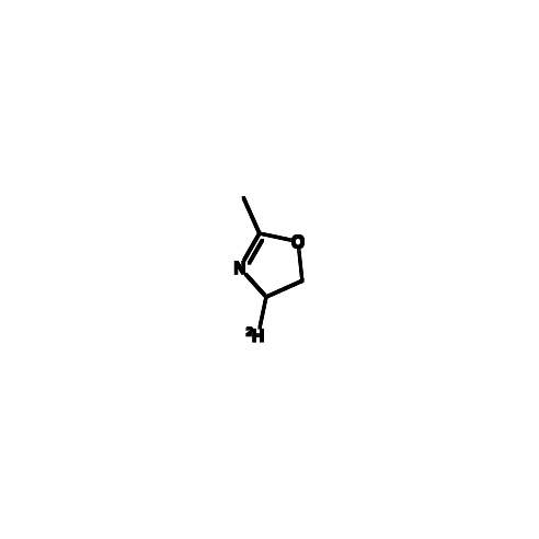 [2H]C1COC(C)=N1